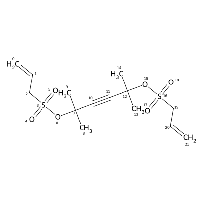 C=CCS(=O)(=O)OC(C)(C)C#CC(C)(C)OS(=O)(=O)CC=C